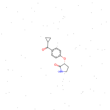 O=C(c1ccc(O[C@@H]2CCNC2=O)cc1)C1CC1